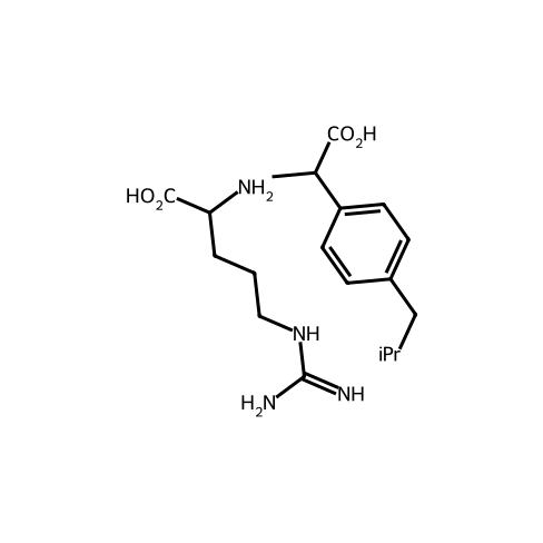 CC(C)Cc1ccc(C(C)C(=O)O)cc1.N=C(N)NCCCC(N)C(=O)O